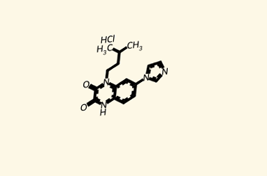 CC(C)CCn1c(=O)c(=O)[nH]c2ccc(-n3ccnc3)cc21.Cl